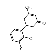 CC1=CC(=O)CC(c2cccc(Cl)c2Cl)C1